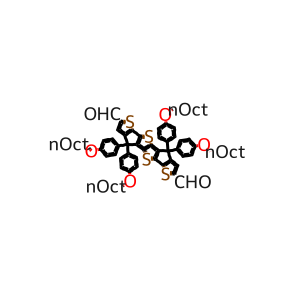 CCCCCCCCOc1ccc(C2(c3ccc(OCCCCCCCC)cc3)c3cc(C=O)sc3-c3sc4c5c(sc4c32)-c2sc(C=O)cc2C5(c2ccc(OCCCCCCCC)cc2)c2ccc(OCCCCCCCC)cc2)cc1